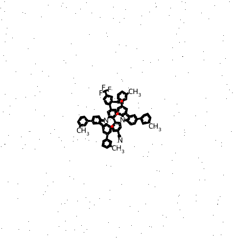 Cc1cccc(-c2ccc3c(c2)c2cc(-c4cccc(C)c4)ccc2n3-c2cc(C#N)ccc2-c2ccc(-c3ccc(C(F)(F)F)cc3C#N)cc2-n2c3ccc(-c4cccc(C)c4)cc3c3cc(-c4cccc(C)c4)ccc32)c1